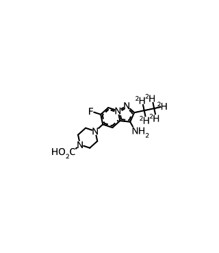 [2H]C([2H])([2H])C([2H])([2H])c1nn2cc(F)c(N3CCN(C(=O)O)CC3)cc2c1N